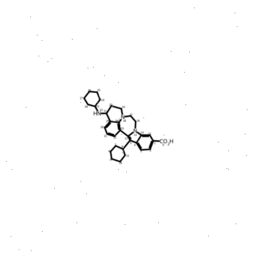 O=C(O)c1ccc2c(C3CCCCC3)c3n(c2c1)CCN1CCC(NC2CCCCC2)c2cccc-3c21